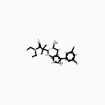 CCN(CC)C(=O)C(C)(C)COc1n[nH]c(-c2cc(C)cc(C)c2)c1CCO